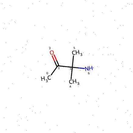 CC(=O)C(C)(C)[NH]